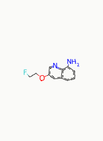 Nc1cccc2cc(OCCF)cnc12